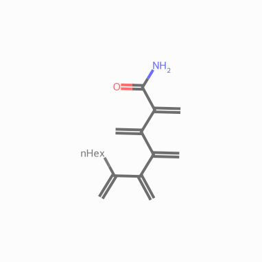 C=C(CCCCCC)C(=C)C(=C)C(=C)C(=C)C(N)=O